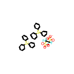 O=S(=O)([O-])C(F)(F)C(F)(F)S(=O)(=O)[O-].c1ccc([S+](c2ccccc2)c2ccccc2)cc1.c1ccc([S+](c2ccccc2)c2ccccc2)cc1